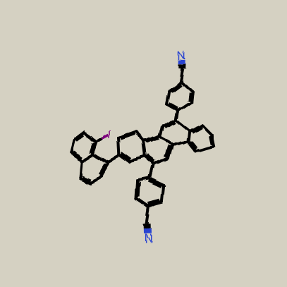 N#Cc1ccc(-c2cc3c4ccc(-c5cccc6cccc(I)c56)cc4c(-c4ccc(C#N)cc4)cc3c3ccccc23)cc1